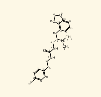 CN(C)[C@H](CNC(=O)NCCc1ccc(F)cc1)Cc1cccc2c1OCO2